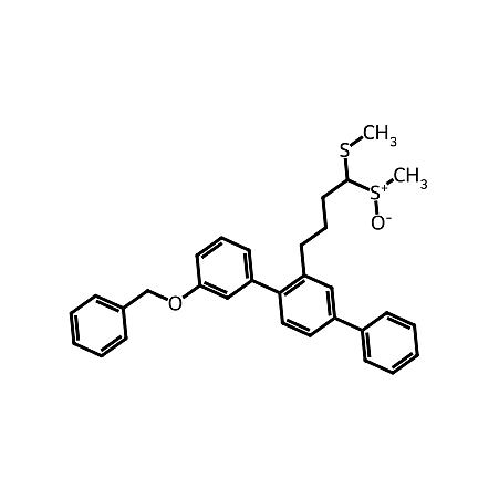 CSC(CCCc1cc(-c2ccccc2)ccc1-c1cccc(OCc2ccccc2)c1)[S+](C)[O-]